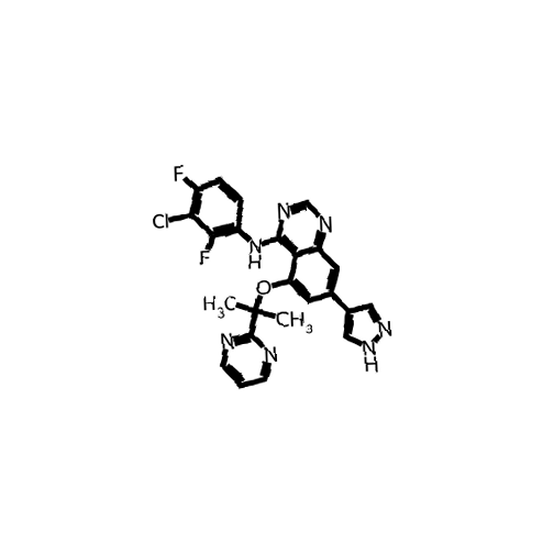 CC(C)(Oc1cc(-c2cn[nH]c2)cc2ncnc(Nc3ccc(F)c(Cl)c3F)c12)c1ncccn1